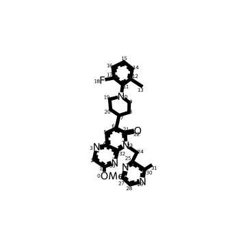 COc1cnc2cc(C3CCN(c4c(C)cccc4F)CC3)c(=O)n(Cc3nccnc3C)c2n1